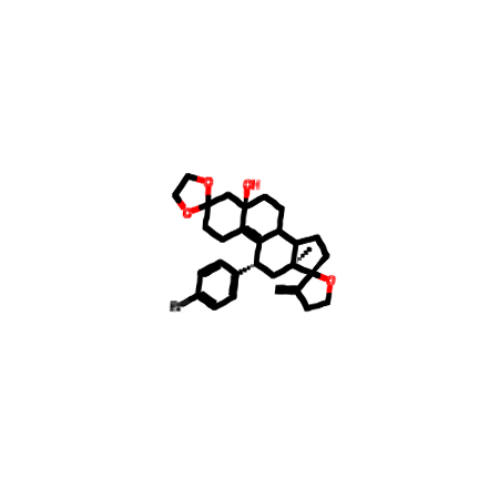 C=C1CCO[C@]12CCC1C3CC[C@@]4(O)CC5(CCC4=C3[C@@H](c3ccc(CC)cc3)C[C@@]12C)OCCO5